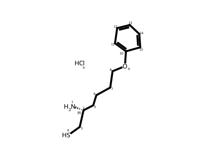 Cl.N[C@@H](CS)CCCCOc1ccccc1